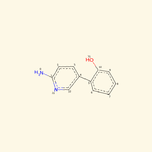 Nc1ccc(-c2ccccc2O)cn1